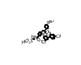 CC(C)(C)c1ccc(C(Cc2ccc(C(=O)NCCS(=O)(=O)O)cc2)C(=O)Nc2cc(Cl)cc(-c3ccc(Cl)cc3Cl)c2)cc1